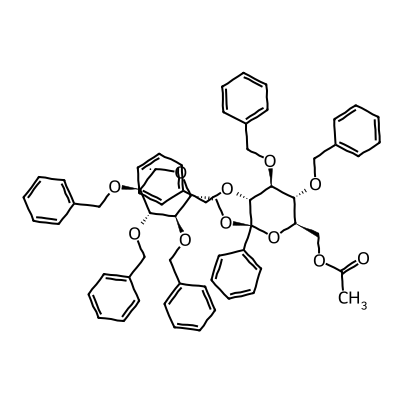 CC(=O)OC[C@H]1O[C@](OC[C@H]2O[CH][C@H](OCc3ccccc3)[C@@H](OCc3ccccc3)[C@@H]2OCc2ccccc2)(c2ccccc2)[C@H](OCc2ccccc2)[C@@H](OCc2ccccc2)[C@@H]1OCc1ccccc1